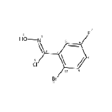 O/N=C(\Cl)c1cc(F)ccc1Br